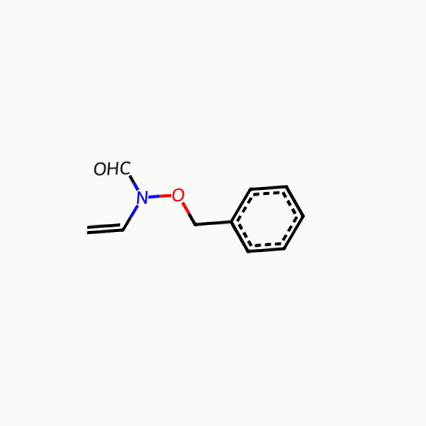 C=CN(C=O)OCc1ccccc1